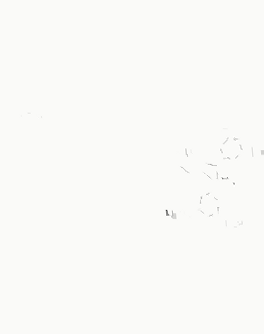 CCCCCCCCCCCCCCCCCCCCCCC=CC1=C(c2cc(CCCC)cc(CCCC)c2)[N+](=[N-])C(c2cc(CC)cc(CC)c2)=C1CCCC.[Ni]